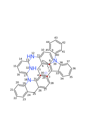 Cc1c(/C=C\Cc2ccccc2NC2C=CC=C(N3c4ccccc4Cc4ccccc43)N2)c2ccccc2n1-c1ccccc1